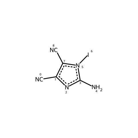 N#Cc1nc(N)n(I)c1C#N